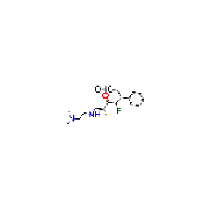 C/C(=C\NCCN(C)C)C(=O)C(F)C(CC=O)c1ccccc1